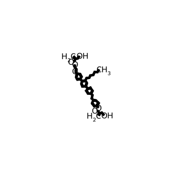 C=C(CO)C(=O)OCCOc1ccc(-c2ccc(-c3ccc(CCc4ccc(OC(=O)C(=C)CO)cc4)cc3)cc2CCCCCCC)cc1